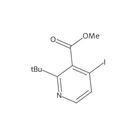 COC(=O)c1c(I)ccnc1C(C)(C)C